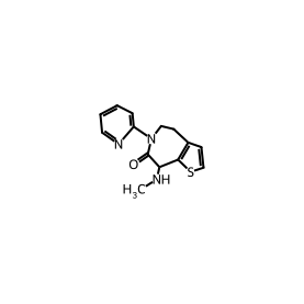 CNC1C(=O)N(c2ccccn2)CCc2ccsc21